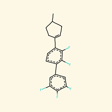 CC1CC=C(c2ccc(-c3cc(F)c(F)c(F)c3)c(F)c2F)CC1